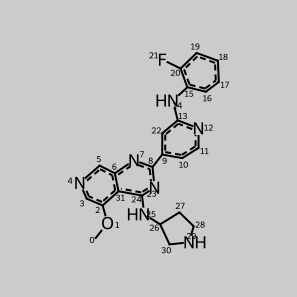 COc1cncc2nc(-c3ccnc(Nc4ccccc4F)c3)nc(NC3CCNC3)c12